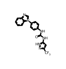 O=C(Nc1ccc(-n2cnc3ccccc32)cc1)Nc1cc(C(F)(F)F)n[nH]1